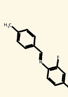 Cc1ccc(C=Nc2ccc(F)cc2F)cc1